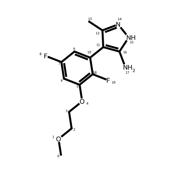 COCCOc1cc(F)cc(-c2c(C)n[nH]c2N)c1F